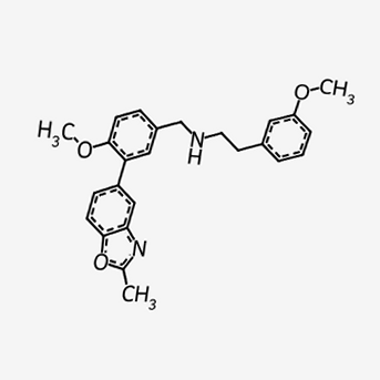 COc1cccc(CCNCc2ccc(OC)c(-c3ccc4oc(C)nc4c3)c2)c1